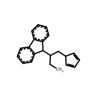 CCC(CC1C=CC=C1)C1c2ccccc2-c2ccccc21